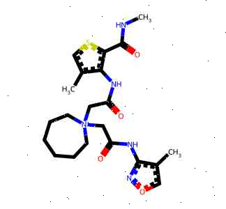 CNC(=O)c1scc(C)c1NC(=O)C[N+]1(CC(=O)Nc2nocc2C)CCCCCC1